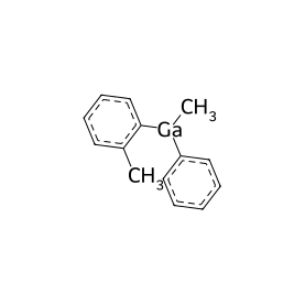 Cc1cccc[c]1[Ga]([CH3])[c]1ccccc1